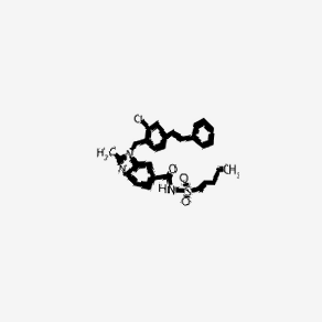 CCCC=CS(=O)(=O)NC(=O)c1ccc2nc(C)n(Cc3ccc(C=Cc4ccccc4)cc3Cl)c2c1